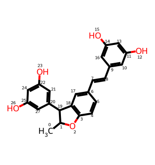 CC1Oc2ccc(/C=C/c3cc(O)cc(O)c3)cc2C1c1cc(O)cc(O)c1